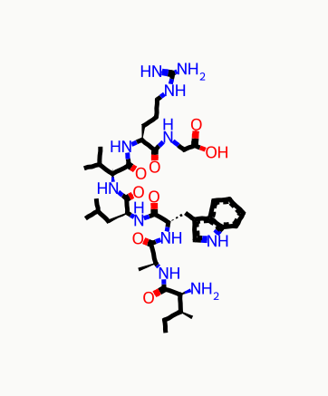 CC[C@H](C)[C@H](N)C(=O)N[C@@H](C)C(=O)N[C@@H](Cc1c[nH]c2ccccc12)C(=O)N[C@@H](CC(C)C)C(=O)N[C@H](C(=O)N[C@@H](CCCNC(=N)N)C(=O)NCC(=O)O)C(C)C